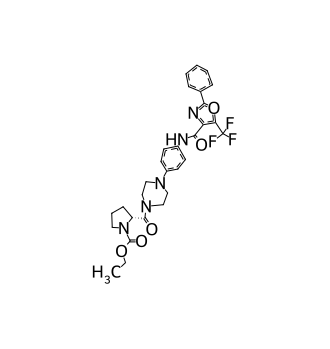 CCOC(=O)N1CCC[C@@H]1C(=O)N1CCN(c2ccc(NC(=O)c3nc(-c4ccccc4)oc3C(F)(F)F)cc2)CC1